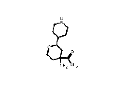 NC(=O)C1(N)CCOC(C2CCNCC2)C1